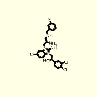 N=c1n(C/C(N)=C/NCc2cccc(F)c2)c2cc(Cl)ccc2n1CC(O)c1ccc(Cl)c(Cl)c1